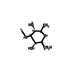 CC1OC(C(=O)O)[C@H](O)C(OI)[C@@H]1O